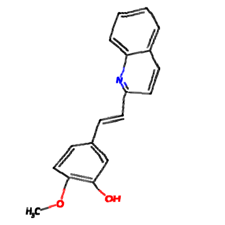 COc1ccc(C=Cc2ccc3ccccc3n2)cc1O